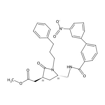 COC(=O)C[C@@H]1C[C@@H](CNC(=O)c2cccc(-c3cccc([N+](=O)[O-])c3)c2)N(CCCc2ccccc2)C1=O